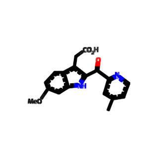 COc1ccc2c(CC(=O)O)c(C(=O)c3cc(C)ccn3)[nH]c2c1